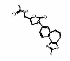 CC(=O)NCC1CN(c2ccc3c(c2)CCCc2sc(C)nc2-3)C(=O)O1